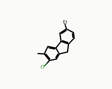 CCc1ccc2c(c1)-c1cc(C)c(Cl)cc1C2